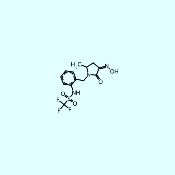 CC1C/C(=N/O)C(=O)N1Cc1ccccc1NS(=O)(=O)C(F)(F)F